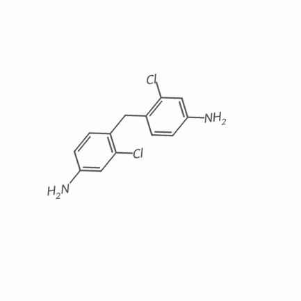 Nc1ccc(Cc2ccc(N)cc2Cl)c(Cl)c1